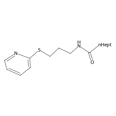 CCCCCCCC(=O)NCCCSc1ccccn1